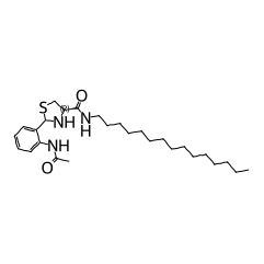 CCCCCCCCCCCCCCCNC(=O)[C@@H]1CSC(c2ccccc2NC(C)=O)N1